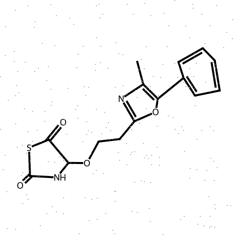 Cc1nc(CCOC2NC(=O)SC2=O)oc1-c1ccccc1